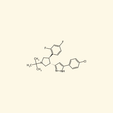 CC(C)(C)N1C[C@@H](c2cc(-c3ccc(Cl)cc3)[nH]n2)[C@H](c2ccc(F)cc2F)C1